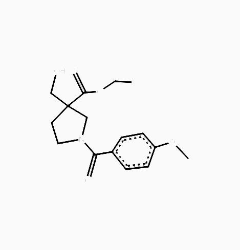 CCOC(=O)C1(CO)CCN(C(=O)c2ccc(OC)cc2)C1